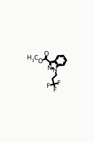 COC(=O)c1nn(CCC(F)(F)F)c2ccccc12